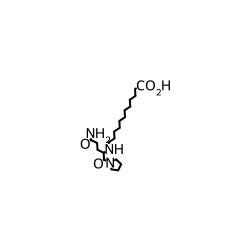 NC(=O)CCC(NCCCCCCCCCCCC(=O)O)C(=O)N1CCCC1